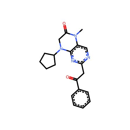 CN1C(=O)CN(C2CCCC2)c2nc(CC(=O)c3ccccc3)ncc21